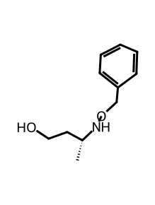 C[C@H](CCO)NOCc1ccccc1